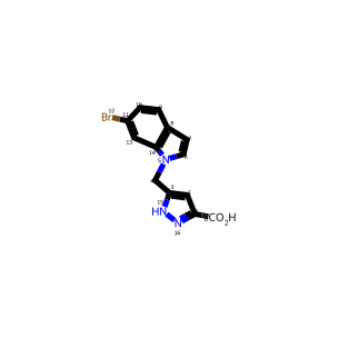 O=C(O)c1cc(Cn2ccc3ccc(Br)cc32)[nH]n1